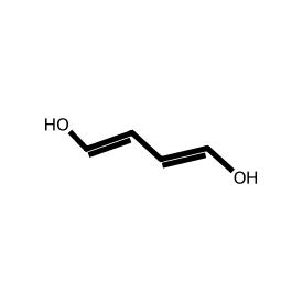 OC=CC=CO